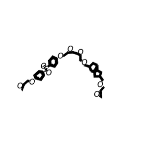 O=S(=O)(c1ccc(OCC2CO2)cc1)c1ccc(OCC2OC2C2OC2COCC2CC3CC2C2CC(COCC4CO4)CC32)cc1